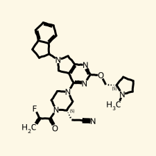 C=C(F)C(=O)N1CCN(c2nc(OC[C@@H]3CCCN3C)nc3c2CN(C2CCc4ccccc42)C3)C[C@@H]1CC#N